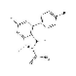 Cc1c(C(N)=O)n(C)c2c(-c3ccc(F)cc3)cc(F)cc12